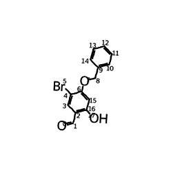 O=Cc1cc(Br)c(OCc2ccccc2)cc1O